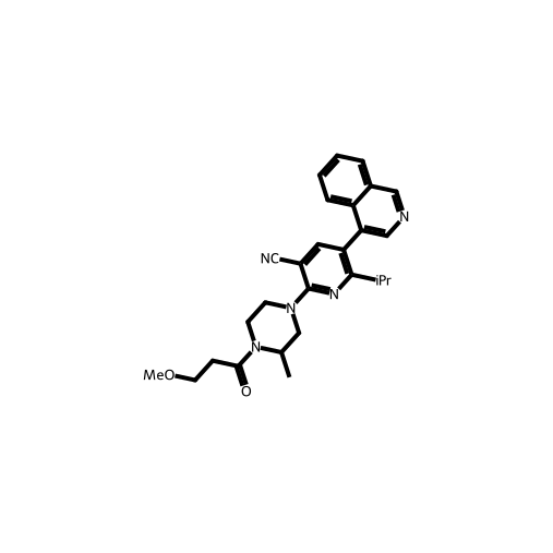 COCCC(=O)N1CCN(c2nc(C(C)C)c(-c3cncc4ccccc34)cc2C#N)CC1C